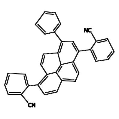 N#Cc1ccccc1-c1ccc2ccc3c(-c4ccccc4C#N)cc(-c4ccccc4)c4ccc1c2c43